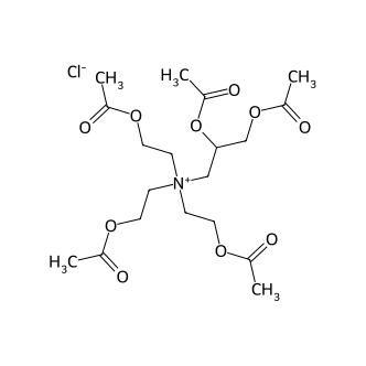 CC(=O)OCC[N+](CCOC(C)=O)(CCOC(C)=O)CC(COC(C)=O)OC(C)=O.[Cl-]